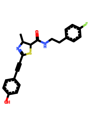 CC1N=C(C#Cc2ccc(O)cc2)SC1C(=O)NCCc1ccc(F)cc1